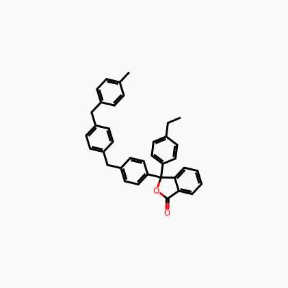 CCc1ccc(C2(c3ccc(Cc4ccc(Cc5ccc(C)cc5)cc4)cc3)OC(=O)c3ccccc32)cc1